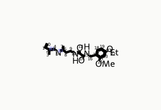 C=C/C(C)=C/N=C(\C)CCNC(=O)C(=O)NCc1ccc(OCC)cc1OC